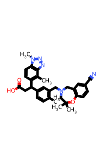 Cc1ccc(C(CC(=O)O)c2ccc3c(nnn3C)c2C)cc1CN1Cc2cc(C#N)ccc2OC(C)(C)C1